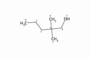 CCCC(C)(C)CO